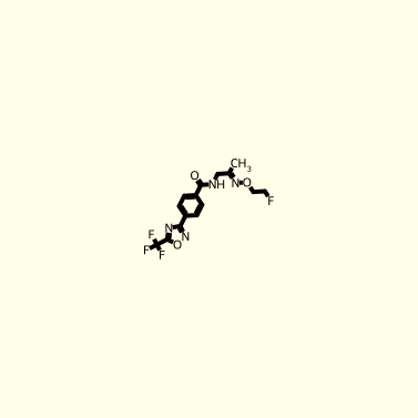 CC(CNC(=O)c1ccc(-c2noc(C(F)(F)F)n2)cc1)=NOCCF